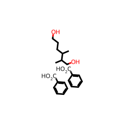 CC(CO)C(C)CCCO.O=C(O)c1ccccc1.O=C(O)c1ccccc1